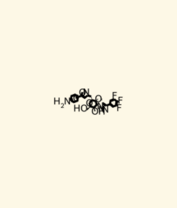 CO[C@@H]1[C@@H](n2cc(-c3cc(F)c(F)c(F)c3)nn2)[C@@H](O)[C@@H](CO)O[C@@H]1Cc1cc(C23CCC(N)(CC2)CC3)on1